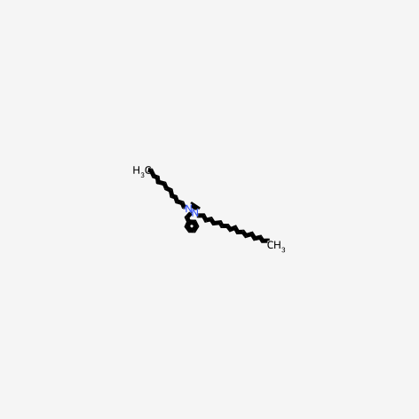 CCCCCCCCCCCCCCCCCCCN1C=CN(CCCCCCCCCCCCC)C1Cc1ccccc1